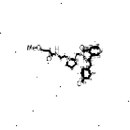 COCCC(=O)NCCN1CCC[C@@H]1Cn1nc(Cc2ccc(Cl)cc2)c2cnccc2c1=O